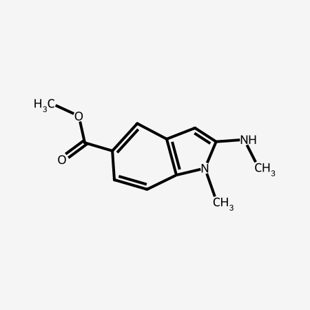 CNc1cc2cc(C(=O)OC)ccc2n1C